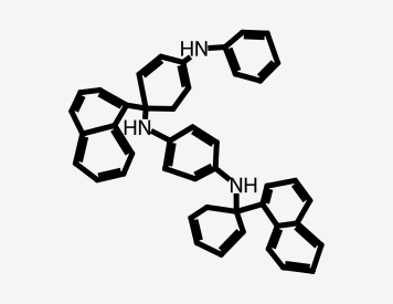 C1=CCC(Nc2ccc(NC3(c4cccc5ccccc45)C=CC(Nc4ccccc4)=CC3)cc2)(c2cccc3ccccc23)C=C1